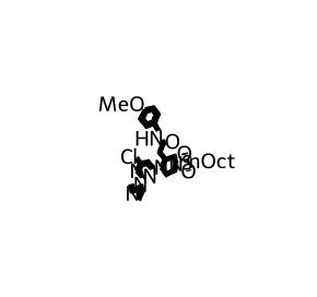 CCCCCCCCS(=O)(=O)N1CCN(c2cc(Cl)nc(-n3ccnc3)n2)C(CC(=O)NCc2ccc(OC)cc2)C1